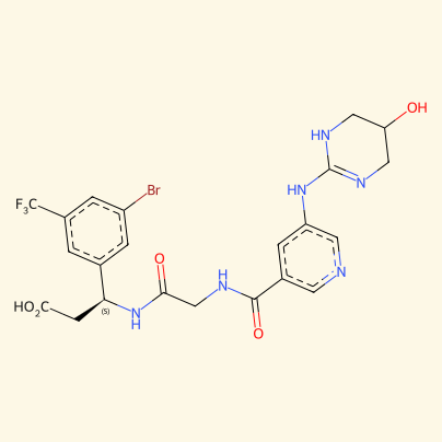 O=C(O)C[C@H](NC(=O)CNC(=O)c1cncc(NC2=NCC(O)CN2)c1)c1cc(Br)cc(C(F)(F)F)c1